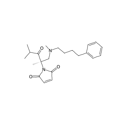 CC(C)C(=O)[C@@](C)(CN(C)CCCCc1ccccc1)N1C(=O)C=CC1=O